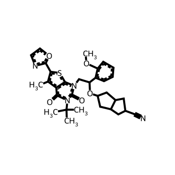 COc1ccccc1C(Cn1c(=O)n(C(C)(C)C)c(=O)c2c(C)c(-c3ncco3)sc21)OC1CC2CC(C#N)CC2C1